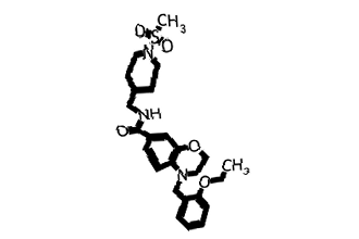 CCOc1ccccc1CN1CCOc2cc(C(=O)NCC3CCN(S(C)(=O)=O)CC3)ccc21